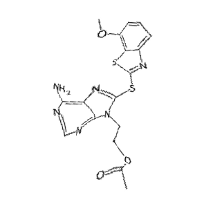 COc1cccc2nc(Sc3nc4c(N)ncnc4n3CCOC(C)=O)sc12